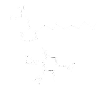 CCCCCCCCCc1ccccc1OP(O)O.O=C1C=C(N2CC2)C(=O)C(N2CC2)=C1N1CC1